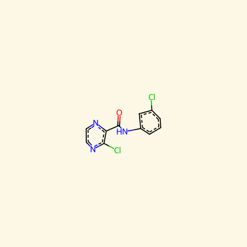 O=C(Nc1cccc(Cl)c1)c1nccnc1Cl